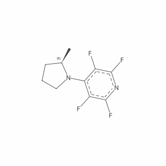 C[C@@H]1CCCN1c1c(F)c(F)nc(F)c1F